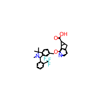 CN1C(c2ccccc2C(F)(F)F)c2cc(COc3nccc4c3C3C(C4)C3C(=O)O)ccc2C1(C)C